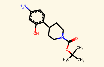 CC(C)(C)OC(=O)N1CCC(c2ccc(N)cc2O)CC1